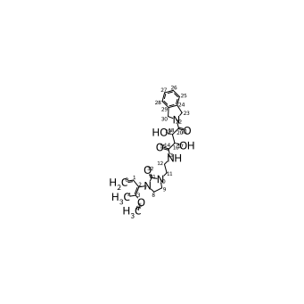 C=C/C(=C(\C)OC)N1CCN(CCNC(=O)[C@H](O)[C@@H](O)C(=O)N2Cc3ccccc3C2)C1=O